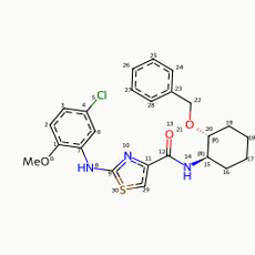 COc1ccc(Cl)cc1Nc1nc(C(=O)N[C@@H]2CCCC[C@H]2OCc2ccccc2)cs1